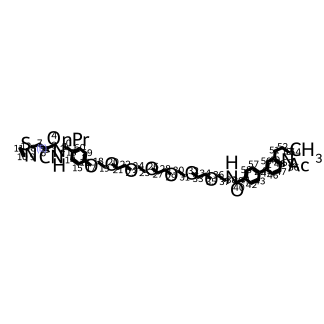 CCCC(NC(=O)/C(C#N)=C/c1nccs1)c1ccc(OCCOCCOCCOCCOCCOCCOCCNC(=O)c2ccc(-c3ccc4c(c3)CC[C@H](C)N4C(C)=O)cc2)cc1